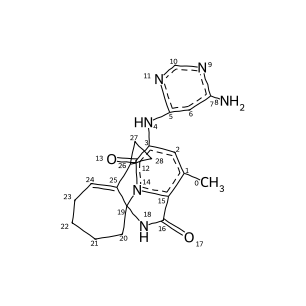 Cc1cc(Nc2cc(N)ncn2)c(=O)n2c1C(=O)NC21CCCCC=C1C1CC1